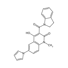 Cn1c(=O)c(C(=O)N2CCc3ccccc32)c(O)c2cc(-n3cccc3)ccc21